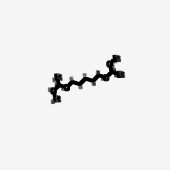 CCOC(CC)OCCCCCOC(CC)OCC